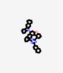 c1ccc(-c2nc(-c3ccc4ccccc4c3)nc(-c3cccc4oc5cc(-n6c7ccccc7c7cc8ccccc8cc76)c6ccccc6c5c34)n2)cc1